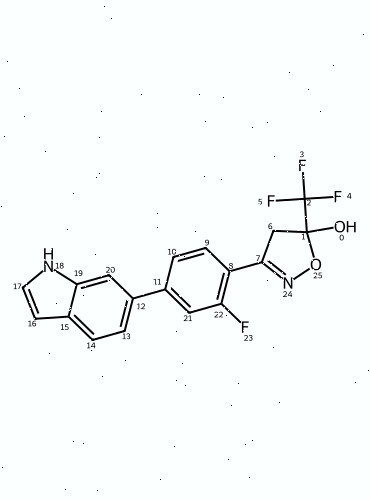 OC1(C(F)(F)F)CC(c2ccc(-c3ccc4cc[nH]c4c3)cc2F)=NO1